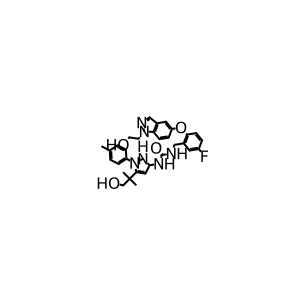 Cc1ccc(N2NC(NC(=O)NCc3cc(F)ccc3Oc3ccc4c(cnn4CCO)c3)C=C2C(C)(C)CO)cc1